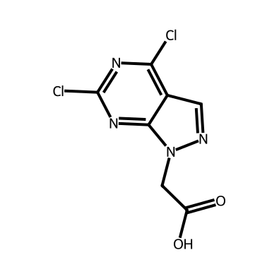 O=C(O)Cn1ncc2c(Cl)nc(Cl)nc21